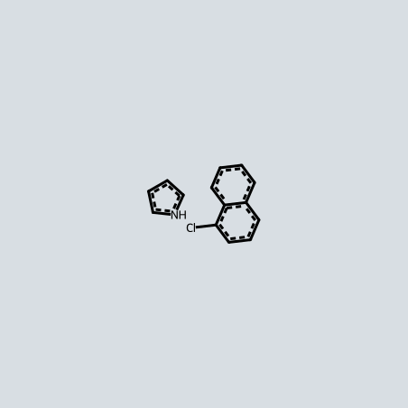 Clc1cccc2ccccc12.c1cc[nH]c1